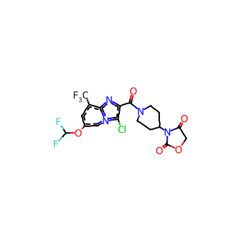 O=C(c1nc2c(C(F)(F)F)cc(OC(F)F)cn2c1Cl)N1CCC(N2C(=O)COC2=O)CC1